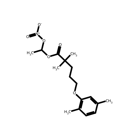 Cc1ccc(C)c(OCCCC(C)(C)C(=O)OC(C)O[N+](=O)[O-])c1